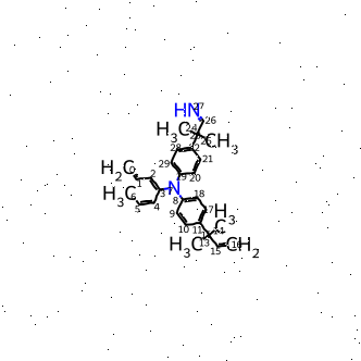 C=C/C=C(\C=C/C)N(c1ccc(C(C)(C)C=C)cc1)c1ccc(C(C)(C)C=N)cc1